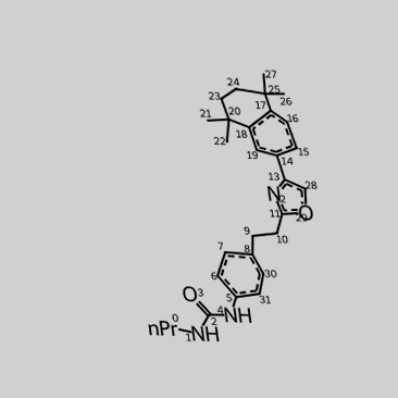 CCCNC(=O)Nc1ccc(CCc2nc(-c3ccc4c(c3)C(C)(C)CCC4(C)C)co2)cc1